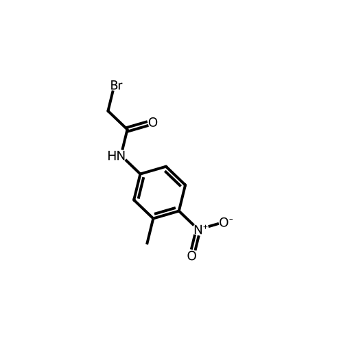 Cc1cc(NC(=O)CBr)ccc1[N+](=O)[O-]